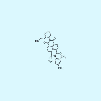 Cc1cc(O)cc(C)c1N1C(=O)c2ccc3c4c(ccc(c24)C1=O)C(=O)N(N1CCCCC1CCO)C3=O